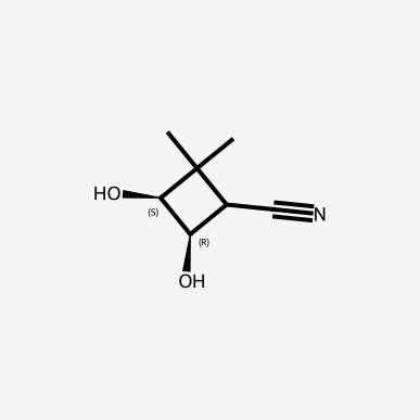 CC1(C)C(C#N)[C@@H](O)[C@H]1O